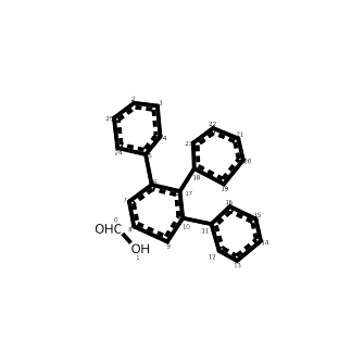 O=CO.c1ccc(-c2cccc(-c3ccccc3)c2-c2ccccc2)cc1